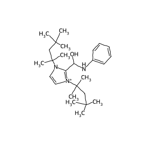 CC(C)(C)CC(C)(C)n1cc[n+](C(C)(C)CC(C)(C)C)c1C(O)Nc1ccccc1